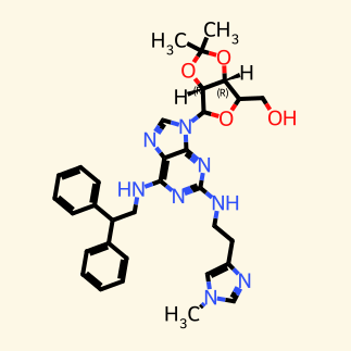 Cn1cnc(CCNc2nc(NCC(c3ccccc3)c3ccccc3)c3ncn(C4OC(CO)[C@H]5OC(C)(C)O[C@@H]45)c3n2)c1